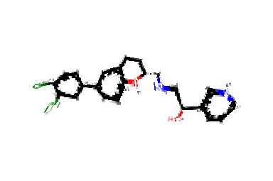 O[C@@H](CNC[C@H]1CCc2cc(-c3ccc(Cl)c(Cl)c3)ccc2O1)c1cccnc1